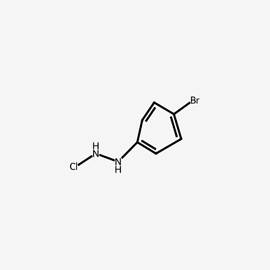 ClNNc1ccc(Br)cc1